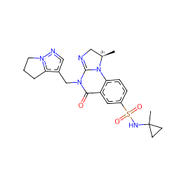 C[C@@H]1CN=C2N(Cc3cnn4c3CCC4)C(=O)c3cc(S(=O)(=O)NC4(C)CC4)ccc3N21